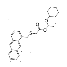 CC(OC(=O)CSCc1cccc2cc3ccccc3cc12)OC1CCCCC1